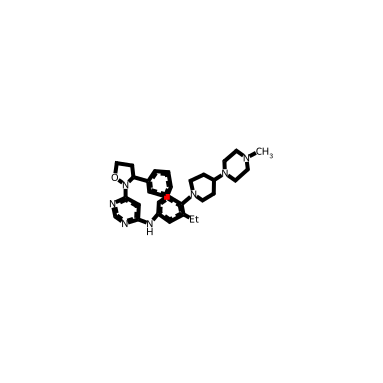 CCc1cc(Nc2cc(N3OCCC3c3ccccc3)ncn2)ccc1N1CCC(N2CCN(C)CC2)CC1